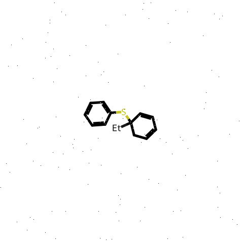 CCC1(Sc2ccccc2)C=CC=CC1